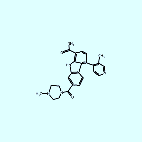 Cc1cnccc1-c1ccc(C(N)=O)c2[nH]c3cc(C(=O)N4CCN(C)CC4)ccc3c12